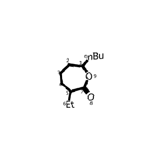 CCCCC1CCCC(CC)C(=O)O1